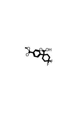 COC(=O)c1ccc(C2(C(=O)O)CCC(F)(F)CC2)cc1